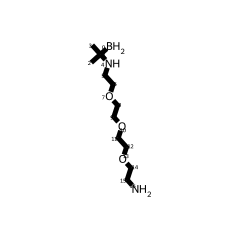 BC(C)(C)NCCOCCOCCOCCN